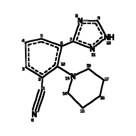 N#Cc1cccc(-c2nc[nH]n2)c1N1CCCCC1